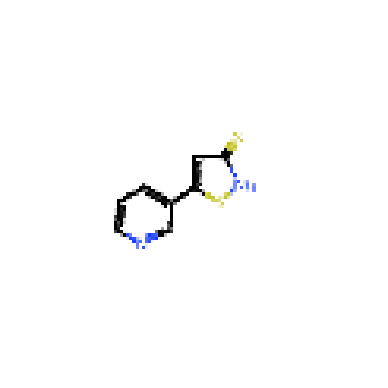 S=c1cc(-c2cccnc2)s[nH]1